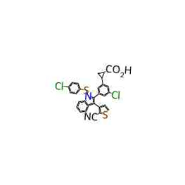 N#Cc1sccc1-c1c(-c2cc(Cl)cc(C3CC3C(=O)O)c2)n(Sc2ccc(Cl)cc2)c2ccccc12